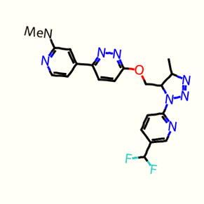 CNc1cc(-c2ccc(OCC3C(C)N=NN3c3ccc(C(F)F)cn3)nn2)ccn1